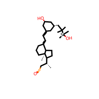 C[C@H](CP=O)C1CCC2/C(=C/C=C3/C[C@@H](O)C[C@H](CC(C)(C)[Si](C)(C)O)C3)CCC[C@@]21C